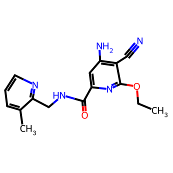 CCOc1nc(C(=O)NCc2ncccc2C)cc(N)c1C#N